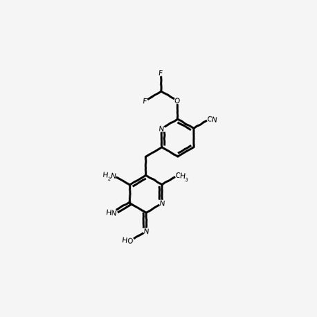 CC1=N/C(=N/O)C(=N)C(N)=C1Cc1ccc(C#N)c(OC(F)F)n1